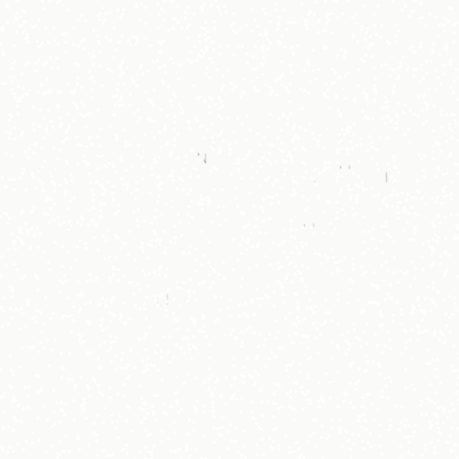 COC(=O)Cc1ccc(-c2ccc[c]c2Cl)cn1